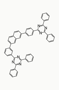 c1ccc(-c2nc(-c3ccccc3)nc(-c3ccc(-c4ccc5ccc(-c6cccc(-c7nc(-c8ccccc8)nc(-c8ccccc8)n7)c6)cc5c4)cc3)n2)cc1